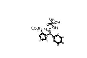 CCOC(=O)c1cncn1C(C)c1ccccc1.O=P(O)(O)O